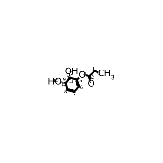 CCC(=O)OC1=CC=C[C@H](O)[C@H]1O